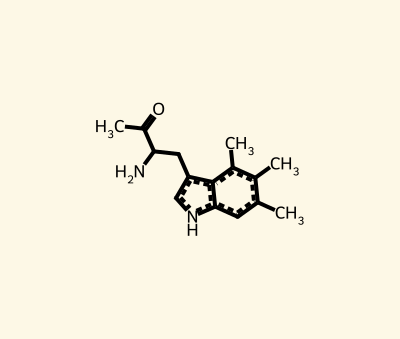 CC(=O)C(N)Cc1c[nH]c2cc(C)c(C)c(C)c12